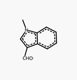 Cn1cc([C]=O)c2ccccc21